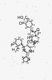 CCOC(=O)C1=C(CN2CC[C@]3(F)C(=O)N(c4ccc(C(=O)O)c(Cl)c4)C[C@@H]3C2)NC(c2nccs2)=N[C@H]1c1cccc(F)c1C